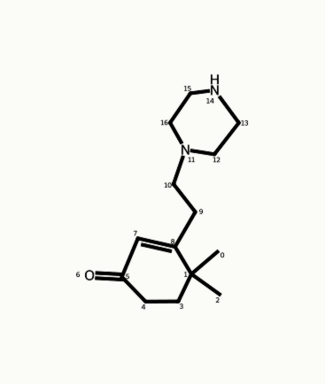 CC1(C)CCC(=O)C=C1CCN1CCNCC1